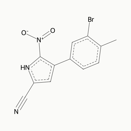 Cc1ccc(-c2cc(C#N)[nH]c2[N+](=O)[O-])cc1Br